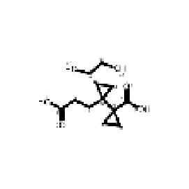 O=C(O)CCC1(C2(C(=O)O)CC2)CC1.OCCO